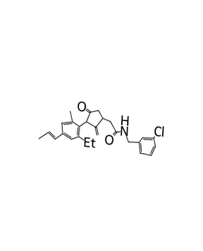 C=C1C(CC(=O)NCc2cccc(Cl)c2)CC(=O)C1c1c(C)cc(/C=C/C)cc1CC